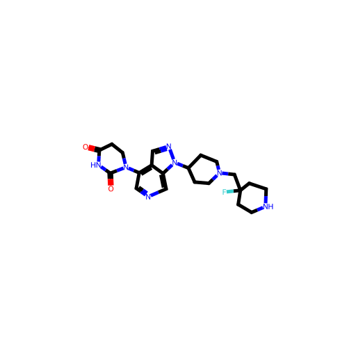 O=C1CCN(c2cncc3c2cnn3C2CCN(CC3(F)CCNCC3)CC2)C(=O)N1